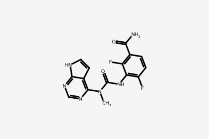 CN(C(=O)Nc1c(F)ccc(C(N)=O)c1F)c1ncnc2[nH]ccc12